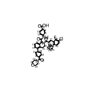 O=C(O)c1ccc(NC(=O)C2c3cccc(-c4ccc(C(=O)N5CCOCC5)cc4)c3CCN2C(=O)C=Cc2c(-n3cnnn3)ccc(Cl)c2F)cc1